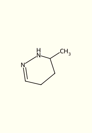 CC1CCC=NN1